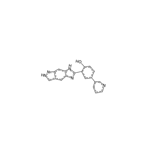 Oc1ccc(-c2cccnc2)cc1-c1nc2cc3c[nH]nc3cc2[nH]1